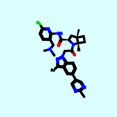 CC(=O)c1nn(CC(=O)N2[C@H](C(=O)Nc3nc(Cl)ccc3CN(C)C)C[C@@]3(C)CC[C@@H]23)c2ccc(-c3cnc(C)nc3)cc12